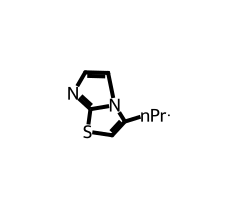 CC[CH]c1csc2nccn12